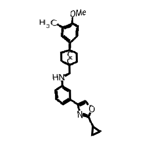 COc1ccc(C23CCC(CNc4cccc(-c5coc(C6CC6)n5)c4)(CC2)CC3)cc1C